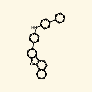 c1ccc(-c2ccc(Nc3ccc(-c4ccc5oc6c7ccccc7ccc6c5c4)cc3)cc2)cc1